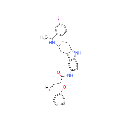 CCC(Oc1ccccc1)C(=O)Nc1ccc2[nH]c3c(c2c1)CC(NC(C)c1cccc(I)c1)CC3